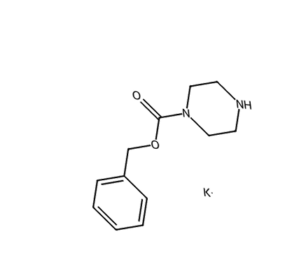 O=C(OCc1ccccc1)N1CCNCC1.[K]